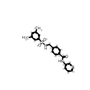 Cc1cc(C)cc(S(=O)(=O)NCc2ccc(C(=O)Nc3cccnc3)cc2)c1